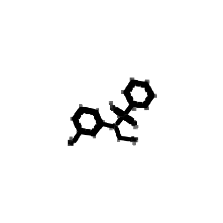 CC(=O)CN(c1cccc(Br)c1)S(=O)(=O)c1ccccc1